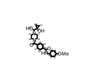 COc1ccc2c(c1)OC(c1ccc(C(=O)N3CCN(C(O)C4(O)CC4)CC3)cc1)N2